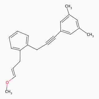 COC=CCc1ccccc1CC#Cc1cc(C)cc(C)c1